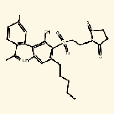 C=C(C)c1ccc(C)cc1-c1c(O)cc(CCCCC)c(S(=O)(=O)CCN2C(=O)CCC2=O)c1O